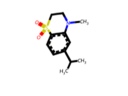 CC(C)c1ccc2c(c1)N(C)CCS2(=O)=O